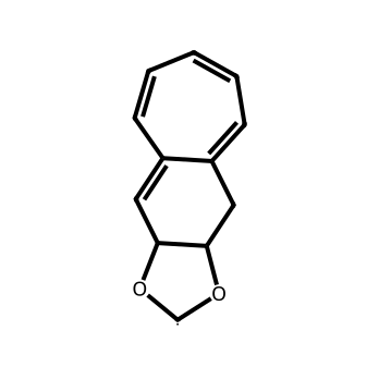 [CH]1OC2C=C3C=CC=CC=C3CC2O1